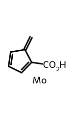 C=C1C=CC=C1C(=O)O.[Mo]